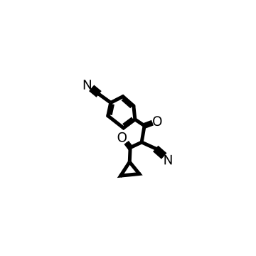 N#Cc1ccc(C(=O)C(C#N)C(=O)C2CC2)cc1